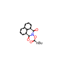 CCCCC(=O)ON1C(=O)c2cccc3cccc(c23)C1=O